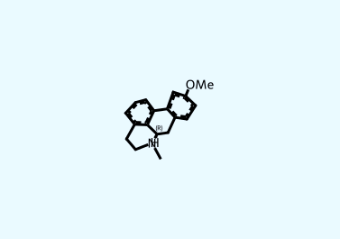 COc1ccc2c(c1)-c1cccc3c1[C@@H](C2)N(C)CC3